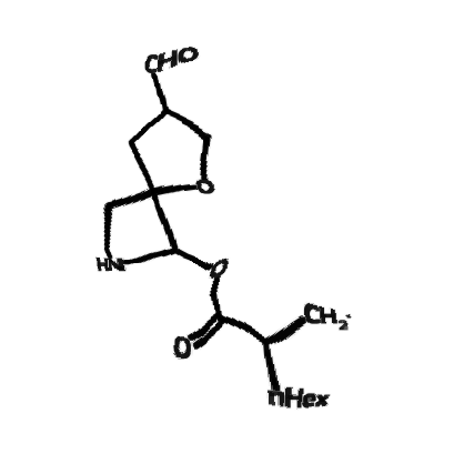 [CH2]C(CCCCCC)C(=O)OC1NCC12CC(C=O)CO2